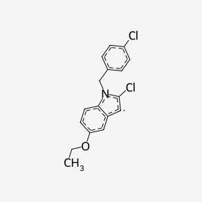 CCOc1ccc2c([c]c(Cl)n2Cc2ccc(Cl)cc2)c1